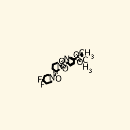 CC(C)S(=O)(=O)c1ccc(S(=O)(=O)N2CCC[C@@H](C(=O)N3CCC(F)(F)CC3)C2)nc1